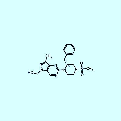 Cc1nn(CO)c2cnc(N3CCN(S(C)(=O)=O)C[C@H]3Cc3ccccc3)nc12